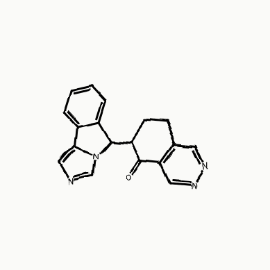 O=C1c2cnncc2CCC1C1c2ccccc2-c2cncn21